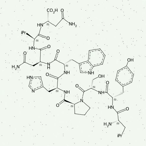 CC(C)C[C@H](N)C(=O)N[C@@H](Cc1ccc(O)cc1)C(=O)N[C@@H](CO)C(=O)N1CCC[C@H]1C(=O)N[C@@H](Cc1c[nH]cn1)C(=O)N[C@@H](Cc1c[nH]c2ccccc12)C(=O)N[C@@H](CC(N)=O)C(=O)N[C@H](C(=O)N[C@@H](CC(N)=O)C(=O)O)C(C)C